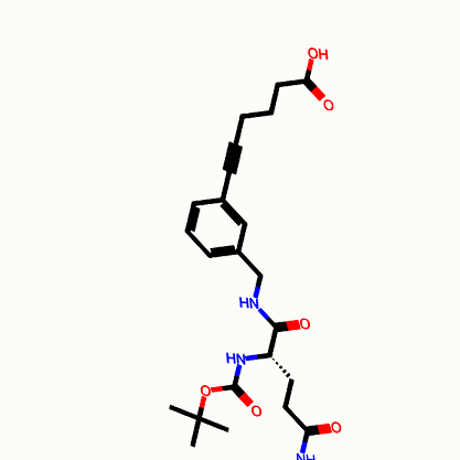 CC(C)(C)OC(=O)N[C@@H](CCC(N)=O)C(=O)NCc1cccc(C#CCCCC(=O)O)c1